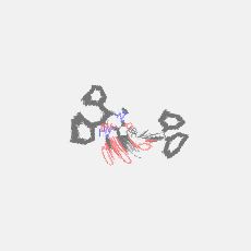 CC[C@@H](O[Si](c1ccccc1)(c1ccccc1)C(C)(C)C)[C@@]1(C)OC(=O)N[C@@H]1C(=O)N(C)[C@H](c1ccccc1)[C@@H](O)c1ccccc1